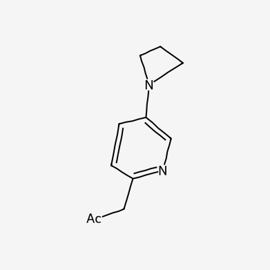 CC(=O)Cc1ccc(N2CCC2)cn1